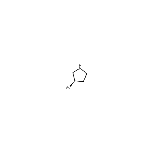 CC(=O)[C@@H]1CCNC1